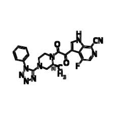 C[C@H]1CN(c2nnnn2-c2ccccc2)CCN1C(=O)C(=O)c1c[nH]c2c(C#N)ncc(F)c12